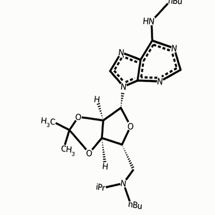 CCCCNc1ncnc2c1ncn2[C@@H]1O[C@H](CN(CCCC)C(C)C)[C@H]2OC(C)(C)O[C@H]21